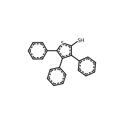 Sc1sc(-c2ccccc2)c(-c2ccccc2)c1-c1ccccc1